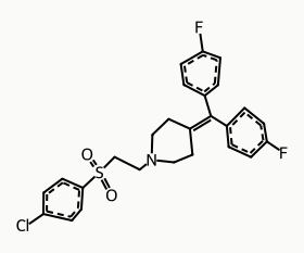 O=S(=O)(CCN1CCC(=C(c2ccc(F)cc2)c2ccc(F)cc2)CC1)c1ccc(Cl)cc1